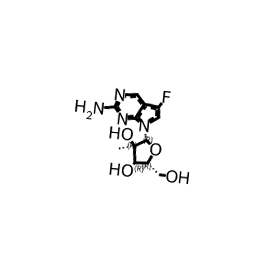 C[C@@]1(O)[C@H](O)[C@@H](CO)O[C@H]1n1cc(F)c2cnc(N)nc21